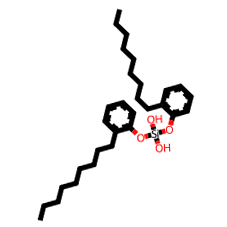 CCCCCCCCCc1ccccc1O[Si](O)(O)Oc1ccccc1CCCCCCCCC